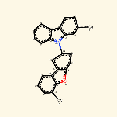 N#Cc1ccc2c3ccccc3n(-c3ccc4oc5c(C#N)cccc5c4c3)c2c1